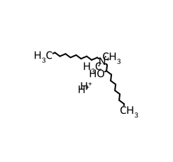 CCCCCCCCCC[N+](C)(C)CC(O)CCCCCCCC.[H+].[H+]